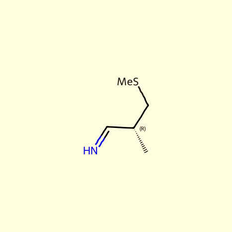 CSC[C@H](C)C=N